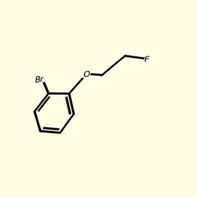 FCCOc1ccccc1Br